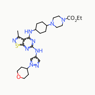 CCOC(=O)N1CCN(C2CCC(Nc3nc(Nc4cnn(C5CCOCC5)c4)nc4snc(C)c34)CC2)CC1